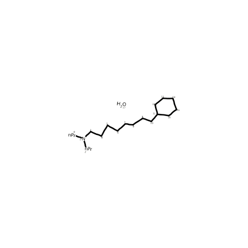 CCCN(CCC)CCCCCCCCC1CCCCC1.O